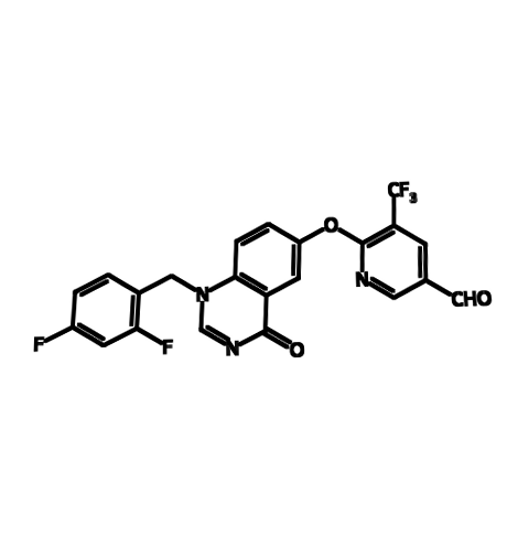 O=Cc1cnc(Oc2ccc3c(c2)c(=O)ncn3Cc2ccc(F)cc2F)c(C(F)(F)F)c1